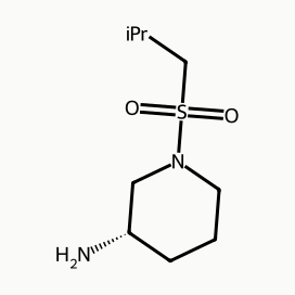 CC(C)CS(=O)(=O)N1CCC[C@H](N)C1